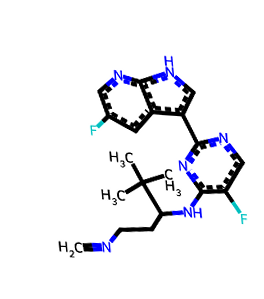 C=NCCC(Nc1nc(-c2c[nH]c3ncc(F)cc23)ncc1F)C(C)(C)C